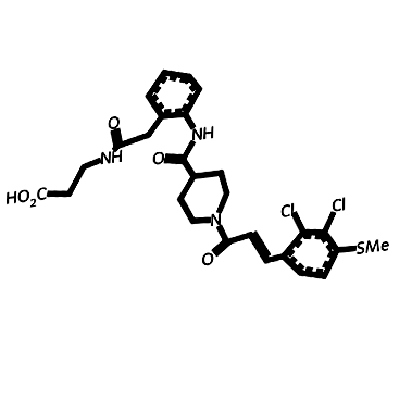 CSc1ccc(C=CC(=O)N2CCC(C(=O)Nc3ccccc3CC(=O)NCCC(=O)O)CC2)c(Cl)c1Cl